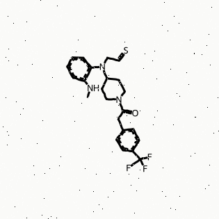 CNc1ccccc1N(CC=S)C1CCN(C(=O)Cc2ccc(C(F)(F)F)cc2)CC1